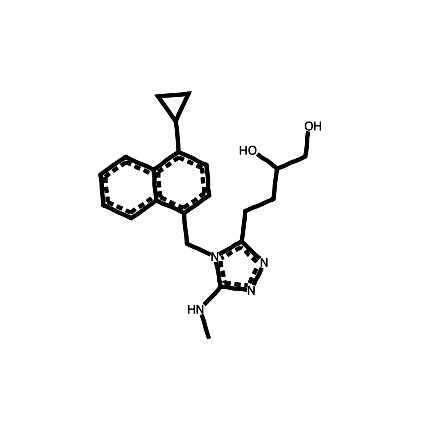 CNc1nnc(CCC(O)CO)n1Cc1ccc(C2CC2)c2ccccc12